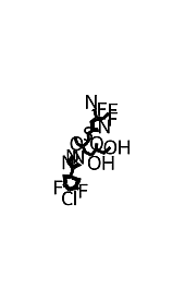 COC1C(Sc2cnc(C(F)(F)F)c(C#N)c2)OC(CO)C(O)C1n1cc(-c2cc(F)c(Cl)c(F)c2)nn1